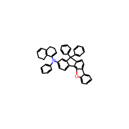 C1=CC2=C(CC1)C(N(c1ccccc1)c1ccc3c(c1)C(c1ccccc1)(c1ccccc1)c1ccc4c(oc5ccccc54)c1-3)=CCC2